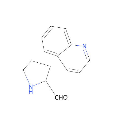 O=CC1CCCN1.c1ccc2ncccc2c1